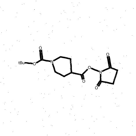 CC(C)(C)OC(=O)N1CCC(C(=O)ON2C(=O)CCC2=O)CC1